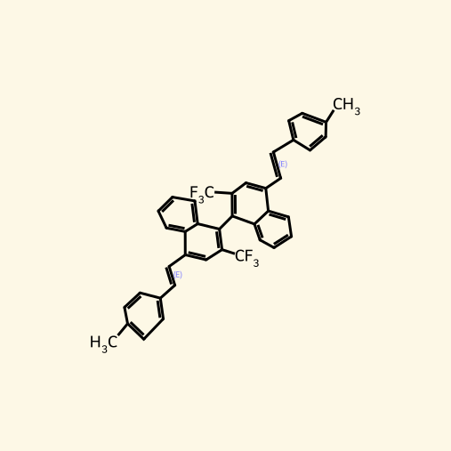 Cc1ccc(/C=C/c2cc(C(F)(F)F)c(-c3c(C(F)(F)F)cc(/C=C/c4ccc(C)cc4)c4ccccc34)c3ccccc23)cc1